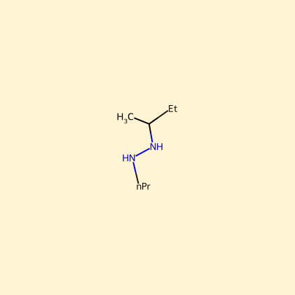 CCCNNC(C)CC